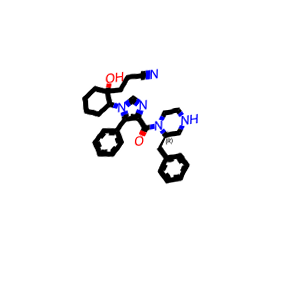 N#CCCC1(O)CCCCC1n1cnc(C(=O)N2CCNC[C@H]2Cc2ccccc2)c1-c1ccccc1